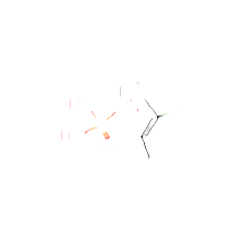 CC=C(F)C(F)(F)F.O=P(O)(O)O